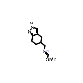 CO/C=N/CC1CCc2n[nH]cc2C1